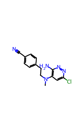 CN(CCc1ccc(C#N)cc1)c1cc(Cl)nnc1N